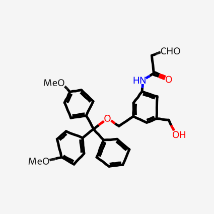 COc1ccc(C(OCc2cc(CO)cc(NC(=O)CC=O)c2)(c2ccccc2)c2ccc(OC)cc2)cc1